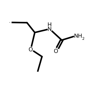 [CH2]CC(NC(N)=O)OCC